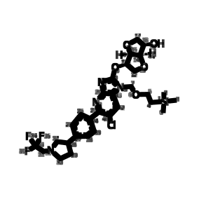 C[Si](C)(C)CCOCn1c(O[C@@H]2CO[C@H]3[C@@H]2OC[C@H]3O)nc2nc(-c3ccc(C4CCN(CC(F)(F)F)C4)cc3)c(Cl)cc21